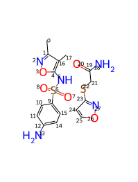 Cc1noc(NS(=O)(=O)c2ccc(N)cc2)c1C.NC(=O)CSc1ccon1